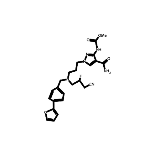 COC(=O)Nc1nn(CCCN(Cc2ccc(-c3ccco3)cc2)CC(F)CC#N)cc1C(N)=O